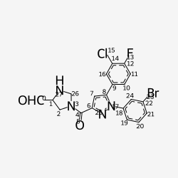 O=CC1CN(C(=O)c2cc(-c3ccc(F)c(Cl)c3)n(-c3cccc(Br)c3)n2)CN1